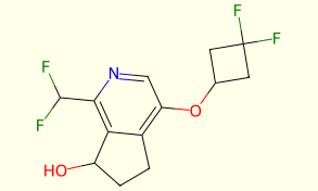 OC1CCc2c(OC3CC(F)(F)C3)cnc(C(F)F)c21